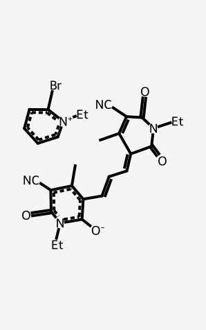 CCN1C(=O)C(=CC=Cc2c(C)c(C#N)c(=O)n(CC)c2[O-])C(C)=C(C#N)C1=O.CC[n+]1ccccc1Br